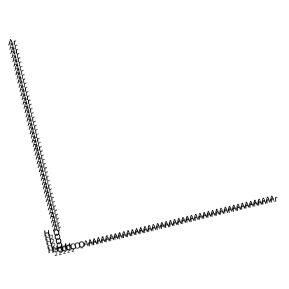 O.O.O.O.O.O.O.O.O.[Ar].[Ar].[Ar].[Ar].[Ar].[Ar].[Ar].[Ar].[Ar].[Ar].[Ar].[Ar].[Ar].[Ar].[Ar].[Ar].[Ar].[Ar].[Ar].[Ar].[Ar].[Ar].[Ar].[Ar].[Ar].[Ar].[Ar].[Ar].[Ar].[Ar].[Ar].[Ar].[Ar].[Ar].[Ar].[Ar].[Ar].[Ar].[Ar].[Ar].[Ar].[Ar].[Ar].[Ar].[Ar].[Ar].[Ar].[Ar].[Ar].[Ar].[Ar].[Ar].[Ar].[Ar].[Ar].[Ar].[Ar].[Ar].[Ar].[Ar].[Ar].[Ar].[Ar].[Ar].[Ar].[Ar].[Ar].[Ar].[Ar].[Ar].[Ar].[Ar].[Ar].[Ar].[Ar].[Ar].[Ar].[Ar].[Ar].[Ar].[Ar].[Ar].[Ar].[Ar].[Ar].[Ar].[Ar].[Ar].[Ar].[Ar].[O]